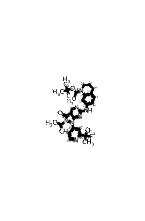 CC(C)n1c(=O)c2cnc(Nc3ccc4c(c3)N(C(=O)OC(C)(C)C)CCC4)nc2n1-c1ccnc(C(C)(C)F)c1